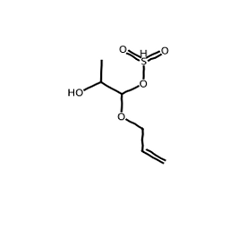 C=CCOC(O[SH](=O)=O)C(C)O